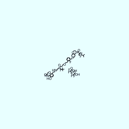 CC(C)c1nc(C(=O)N2CCOC3(CCN(Cc4cccc(CCOCCC(=O)N(CCNCCc5ccc(O)c6c5OCC(=O)N6)[C@H](C)C(C)(C)C)c4F)CC3)C2)cs1.O=C(O)C(F)(F)F.O=C(O)C(F)(F)F